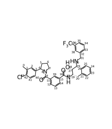 Cc1cc(C2CCCN2C(=O)c2cccc(C(=O)N[C@@H](Cc3ccccc3)[C@H](O)CNCc3cccc(C(F)(F)F)c3)c2)ccc1Cl